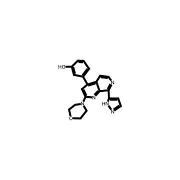 Oc1cccc(-c2cc(N3CCOCC3)nc3c(-c4ccn[nH]4)nccc23)c1